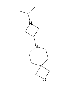 CC(C)N1CC(N2CCC3(CC2)COC3)C1